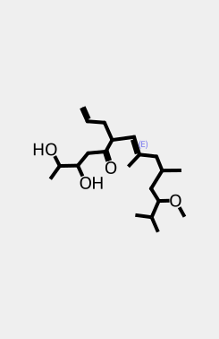 C=CCC(/C=C(\C)CC(C)CC(OC)C(C)C)C(=O)CC(O)C(C)O